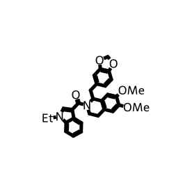 CCn1cc(C(=O)N2CCc3cc(OC)c(OC)cc3C2Cc2ccc3c(c2)OCO3)c2ccccc21